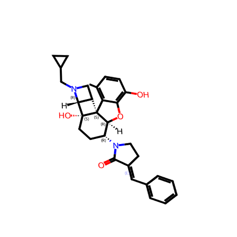 Cc1ccc(O)c2c1[C@]13C4CN(CC5CC5)[C@H]4[C@]1(O)CC[C@@H](N1CC/C(=C\c4ccccc4)C1=O)[C@@H]3O2